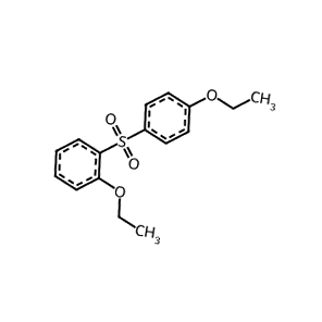 CCOc1ccc(S(=O)(=O)c2ccccc2OCC)cc1